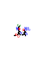 CCOC(=O)c1cc(-c2nnc(C(F)F)o2)cnc1C.CCc1cc(C(=O)NN)cnc1C